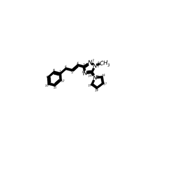 Cn1nc(C=CCc2ccccc2)nc1N1CCCC1